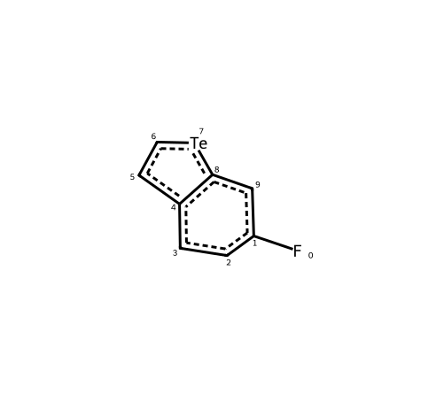 Fc1ccc2cc[te]c2c1